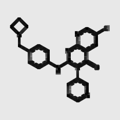 O=c1c2cc(Cl)cnc2nc(Nc2ccc(CN3CCC3)cc2)n1-c1cccnc1